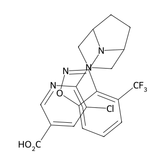 O=C(O)c1cnc(N2CC3CCC(C2)N3c2noc3cccc(C(F)(F)F)c23)c(Cl)c1